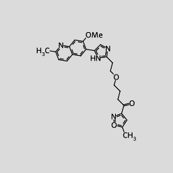 COc1cc2nc(C)ccc2cc1-c1cnc(CCOCCCC(=O)c2cc(C)on2)[nH]1